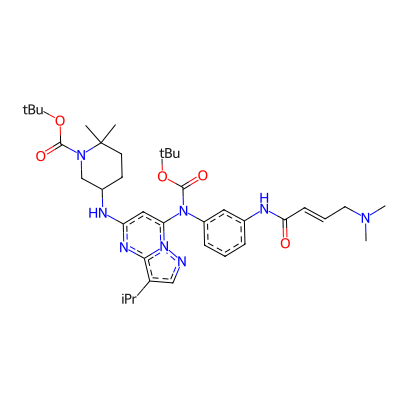 CC(C)c1cnn2c(N(C(=O)OC(C)(C)C)c3cccc(NC(=O)C=CCN(C)C)c3)cc(NC3CCC(C)(C)N(C(=O)OC(C)(C)C)C3)nc12